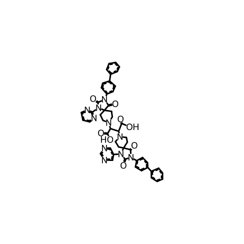 O=C(O)C(C(C(=O)O)N1CCC2(CC1)C(=O)N(c1ccc(-c3ccccc3)cc1)C(=O)N2c1ncccn1)N1CCC2(CC1)C(=O)N(c1ccc(-c3ccccc3)cc1)C(=O)N2c1cncnc1